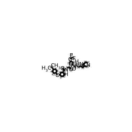 CC(C)c1ccc(Oc2cccc(C(=O)NCC(=O)N3C[C@H](OC(F)F)C[C@H]3C(=O)NCc3cc4cnccc4[nH]3)c2)cc1